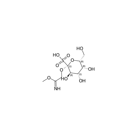 COC(=N)CO[C@]1(S(=O)(=O)O)O[C@H](CO)[C@H](O)[C@H](O)[C@H]1O